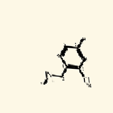 CNCc1ccc(C)cc1Cl